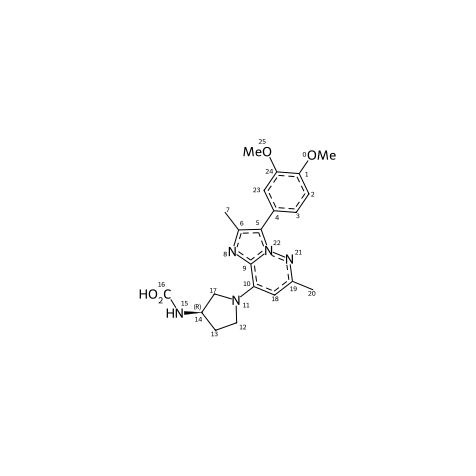 COc1ccc(-c2c(C)nc3c(N4CC[C@@H](NC(=O)O)C4)cc(C)nn23)cc1OC